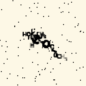 COCCOc1ccc(N2C[C@H]3CN(C(=O)O)C[C@@H]2C(C)(C)C3)cc1